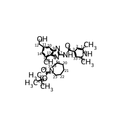 CC1=CC(C(=O)Nc2nc3cc(CO)cc(C)c3n2[C@@H]2CCCCN(C(=O)OC(C)(C)C)C2)=CC(C)N1